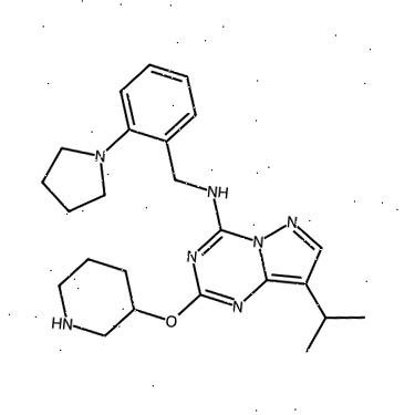 CC(C)c1cnn2c(NCc3ccccc3N3CCCC3)nc(OC3CCCNC3)nc12